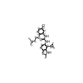 CC1Nc2c(ncc(NC(=O)Nc3cc(Cl)cnc3OCCN(C)C)c2C2CC2)S1